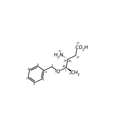 C[C@@H](OCc1ccccc1)[C@H](N)CC(=O)O